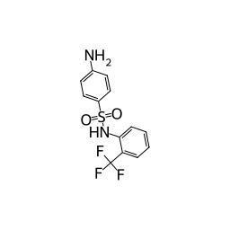 Nc1ccc(S(=O)(=O)Nc2ccccc2C(F)(F)F)cc1